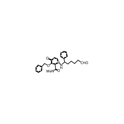 CNC(=O)c1c(OCc2ccccc2)c(=O)ccn1NC(CCCCC=O)c1ccccc1